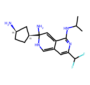 CC(C)Nc1nc(C(F)F)cc2c1=CC(N)([C@H]1CC[C@@H](N)C1)NC=2